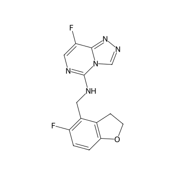 Fc1ccc2c(c1CNc1ncc(F)c3nncn13)CCO2